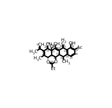 C=C(C)C1=C(C)CC2C(OC(=O)CC)C3C(=C(C)C2(C)C1=C)C(=C)c1c(ccc(C(C)=O)c1O)C3C